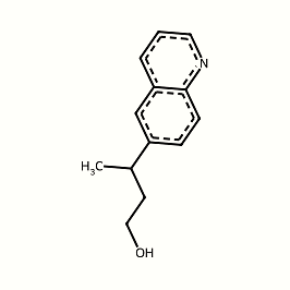 CC(CCO)c1ccc2ncccc2c1